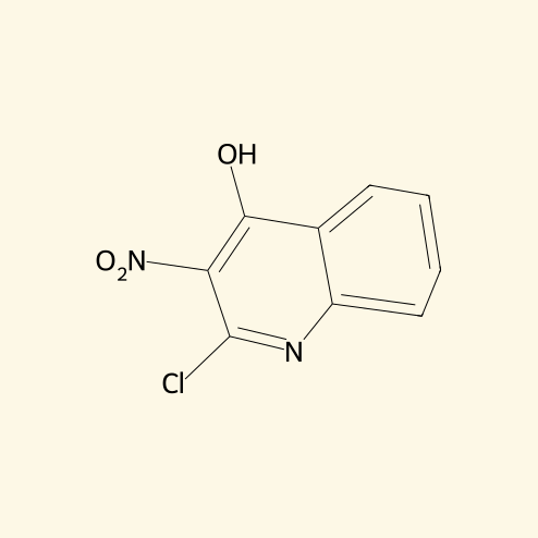 O=[N+]([O-])c1c(Cl)nc2ccccc2c1O